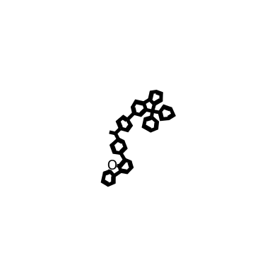 CC(c1ccc(-c2ccc3c(c2)C(c2ccccc2)(c2ccccc2)c2ccccc2-3)cc1)c1ccc(-c2cccc3c2oc2ccccc23)cc1